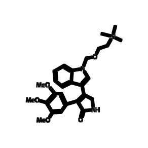 COc1cc(C2=C(c3cn(COCC[Si](C)(C)C)c4ccccc34)CNC2=O)cc(OC)c1OC